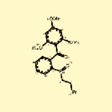 COc1cc(OC)c(C(=O)c2ccccc2[P](=O)CCC(C)C)c(OC)c1